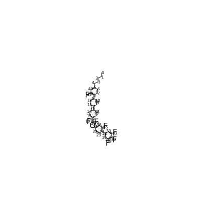 CCCCCc1ccc(C2CCC(C3CCC(C(F)(F)Oc4ccc(-c5cc(F)c(F)c(F)c5)c(F)c4)CC3)CC2)c(F)c1